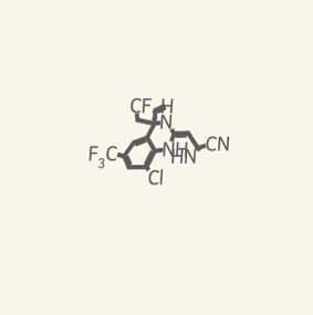 C=CC1(CC(F)(F)F)N/C(=C/C(=N)C#N)Nc2c(Cl)cc(C(F)(F)F)cc21